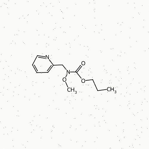 CCCOC(=O)N(Cc1ccccn1)OC